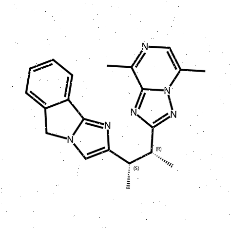 Cc1ncc(C)n2nc([C@H](C)[C@H](C)c3cn4c(n3)-c3ccccc3C4)nc12